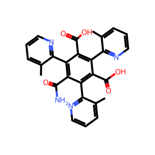 Cc1cccnc1-c1c(C(N)=O)c(-c2ncccc2C)c(C(=O)O)c(-c2ncccc2C)c1C(=O)O